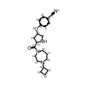 N#Cc1ccc(OC2CNC(C(=O)N3CCCN(C4CCC4)CC3)C2)cc1